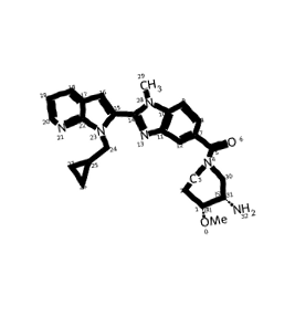 CO[C@@H]1CCN(C(=O)c2ccc3c(c2)nc(-c2cc4cccnc4n2CC2CC2)n3C)C[C@@H]1N